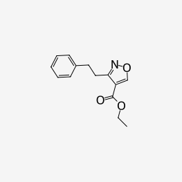 CCOC(=O)c1conc1CCc1ccccc1